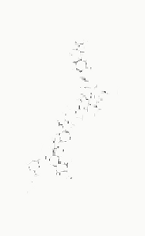 CCCOc1cccc(Oc2cc3c(cc2NS(=O)(=O)c2cccc(C(=O)N4CCC(C(=O)N[C@H](C(=O)N5C[C@H](O)C[C@H]5C(=O)NCc5ccc(-c6scnc6C)cc5)C(C)(C)C)CC4)c2)n(C)c(=O)n3C)c1